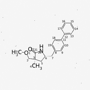 COC[C@]1(C)C[C@@H](Cc2ccc(-c3ccccc3)cc2)NC1=O